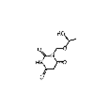 CC(O)OCN1C(=O)CC(=O)NC1=O